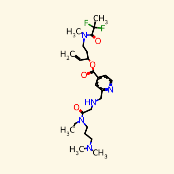 C=CC(CCN(C)C(=O)C(C)(F)F)OC(=O)c1ccnc(CNCC(=O)N(CC)CCCN(C)C)c1